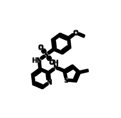 COc1ccc(S(=O)(=O)Nc2cccnc2Nc2cc(C)cs2)cc1